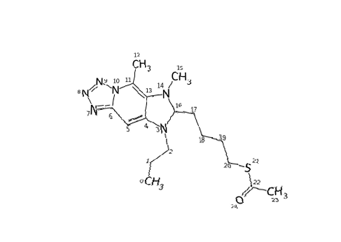 CCCN1c2cc3nnnn3c(C)c2N(C)C1CCCCSC(C)=O